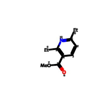 CCc1ccc(C(=O)OC)c(CC)n1